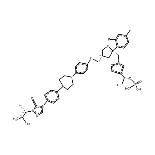 CC[C@@H]([C@H](C)O)n1ncn(-c2ccc(N3CCN(c4ccc(OC[C@@H]5CO[C@@](Cn6c[n+](C(C)OP(=O)(O)O)cn6)(c6ccc(F)cc6F)C5)cc4)CC3)cc2)c1=O